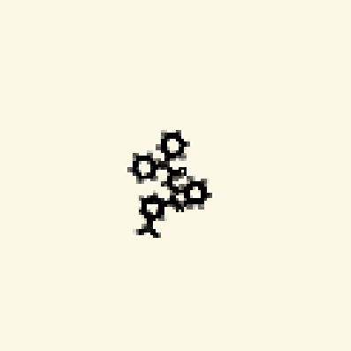 CN(C)c1cccc(-c2nc3ccccc3n2CC(=O)N(C2CCCCC2)C2CCCCC2)c1